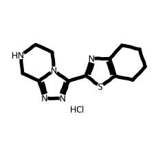 C1CCc2sc(-c3nnc4n3CCNC4)nc2C1.Cl